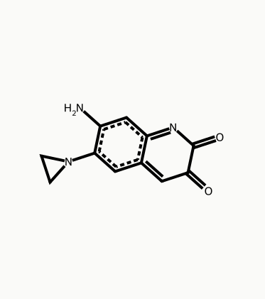 Nc1cc2c(cc1N1CC1)=CC(=O)C(=O)N=2